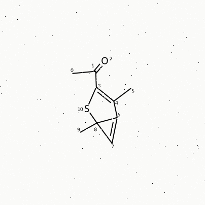 CC(=O)C1=C(C)C2=CC2(C)S1